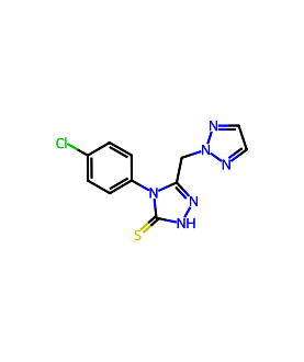 S=c1[nH]nc(Cn2nccn2)n1-c1ccc(Cl)cc1